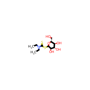 CCN(CC)C(=S)SC1O[C@H](CO)[C@@H](O)[C@H](O)[C@H]1O